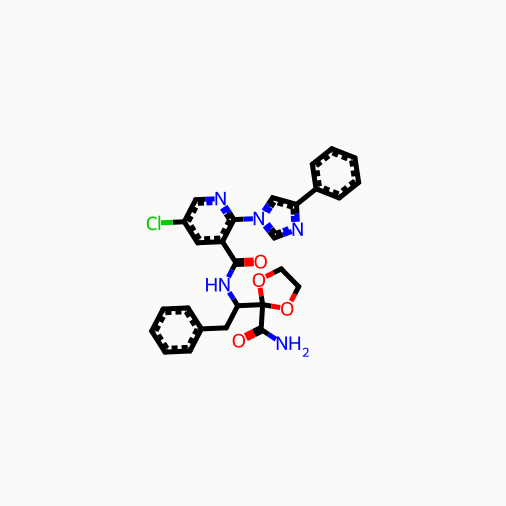 NC(=O)C1(C(Cc2ccccc2)NC(=O)c2cc(Cl)cnc2-n2cnc(-c3ccccc3)c2)OCCO1